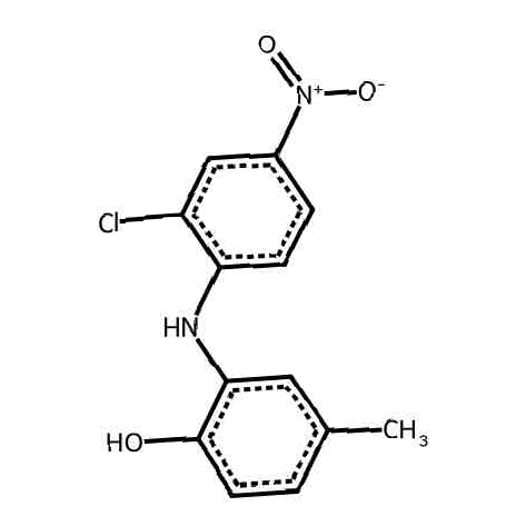 Cc1ccc(O)c(Nc2ccc([N+](=O)[O-])cc2Cl)c1